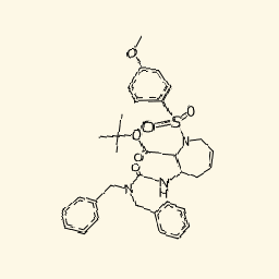 COc1ccc(S(=O)(=O)N2CC=CCC(NC(=O)N(Cc3ccccc3)Cc3ccccc3)C2C(=O)OC(C)(C)C)cc1